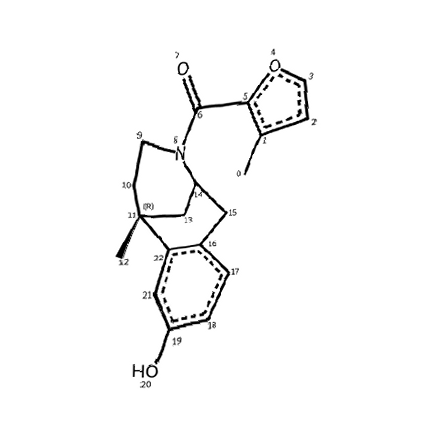 Cc1ccoc1C(=O)N1CC[C@]2(C)CC1Cc1ccc(O)cc12